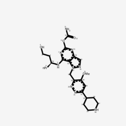 CCC[C@@H](CCO)Nc1nc(OC(N)=O)nc2cnn(Cc3nnc(C4CCNCC4)cc3OC)c12